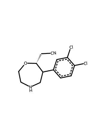 N#CC[C@H]1OCCNCC1c1ccc(Cl)c(Cl)c1